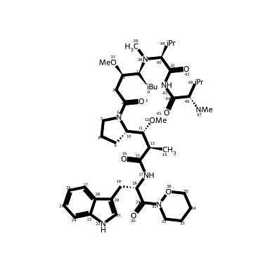 CC[C@H](C)[C@@H]([C@@H](CC(=O)N1CCC[C@H]1[C@H](OC)[C@@H](C)C(=O)N[C@@H](Cc1c[nH]c2ccccc12)C(=O)N1CCCCO1)OC)N(C)[C@H](C(=O)NC(=O)[C@@H](NC)C(C)C)C(C)C